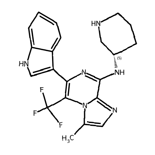 Cc1cnc2c(N[C@H]3CCCNC3)nc(-c3c[nH]c4ccccc34)c(C(F)(F)F)n12